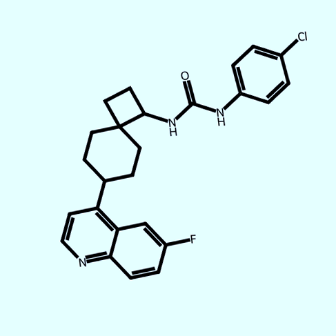 O=C(Nc1ccc(Cl)cc1)NC1CCC12CCC(c1ccnc3ccc(F)cc13)CC2